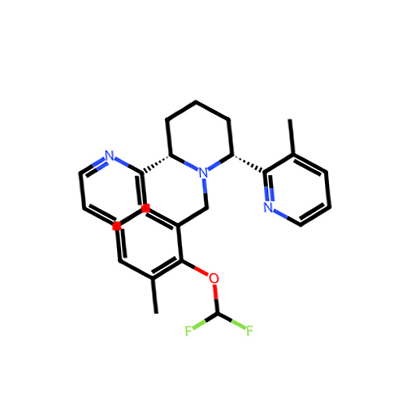 Cc1cccnc1[C@H]1CCC[C@@H](c2ccccn2)N1Cc1cccc(C)c1OC(F)F